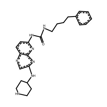 O=C(NCCCCc1ccccc1)Nc1ccc2ncc(NC3CCNCC3)nc2n1